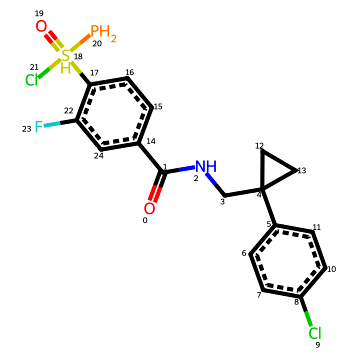 O=C(NCC1(c2ccc(Cl)cc2)CC1)c1ccc([SH](=O)(P)Cl)c(F)c1